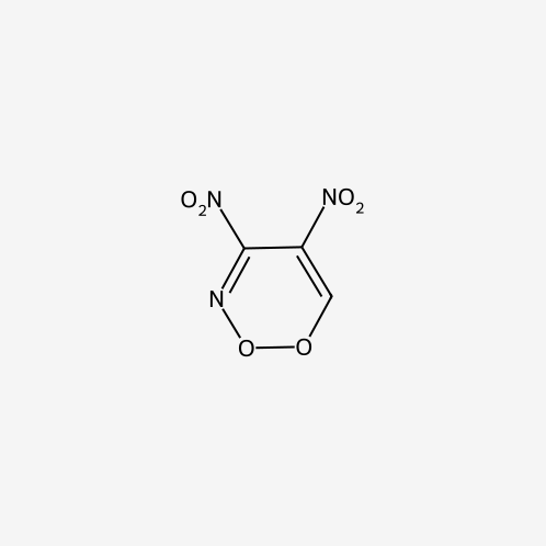 O=[N+]([O-])C1=COON=C1[N+](=O)[O-]